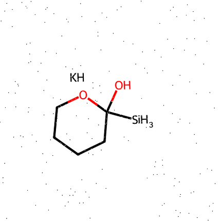 OC1([SiH3])CCCCO1.[KH]